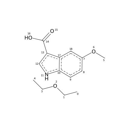 CCOCC.COc1ccc2[nH]cc(C(=O)O)c2c1